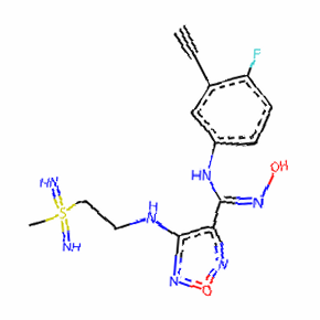 C#Cc1cc(N/C(=N\O)c2nonc2NCCS(C)(=N)=N)ccc1F